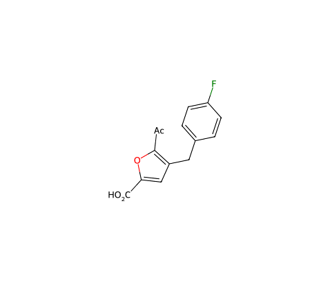 CC(=O)c1oc(C(=O)O)cc1Cc1ccc(F)cc1